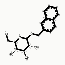 OC[C@H]1OC(OCc2ccc3ccccc3c2)[C@H](O)[C@@H](O)[C@@H]1O